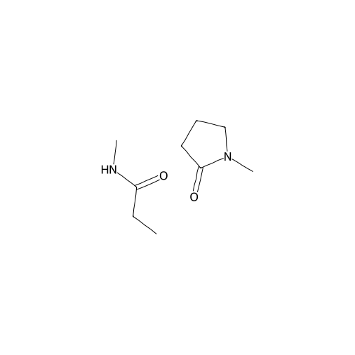 CCC(=O)NC.CN1CCCC1=O